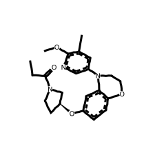 CCC(=O)N1CC[C@H](Oc2ccc3c(c2)N(c2cnc(OC)c(C)c2)CCO3)C1